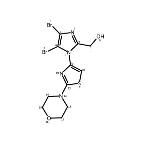 OCc1nc(Br)c(Br)n1-c1csc(N2CCOCC2)n1